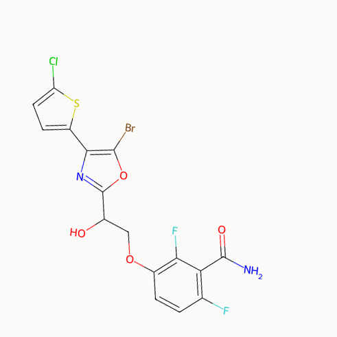 NC(=O)c1c(F)ccc(OCC(O)c2nc(-c3ccc(Cl)s3)c(Br)o2)c1F